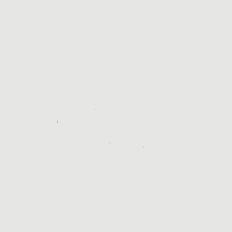 CC.C[SiH2][Zr+2]([C]1=CC(C(C)C)=CC1)[c]1cccc2c1Cc1ccccc1-2.[Cl-].[Cl-]